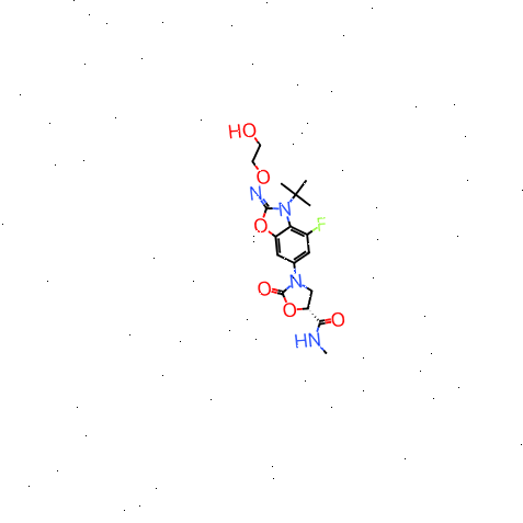 CNC(=O)[C@H]1CN(c2cc(F)c3c(c2)o/c(=N/OCCO)n3C(C)(C)C)C(=O)O1